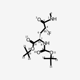 CNC(=O)[C@H](F)C[C@H](NC(=O)OC(C)(C)C)C(=O)OC(C)(C)C